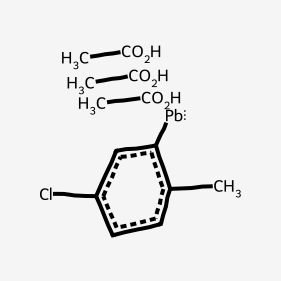 CC(=O)O.CC(=O)O.CC(=O)O.Cc1ccc(Cl)c[c]1[Pb]